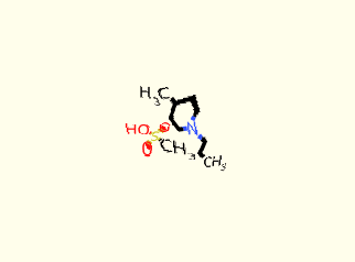 CCCN1CCC(C)CC1.CS(=O)(=O)O